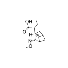 CCC(C(=O)O)[C@H]1CC2CC(C2)C1=NOC